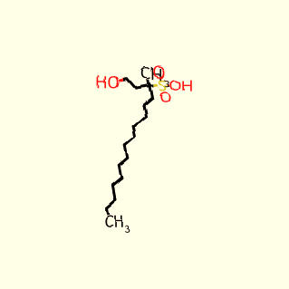 CCCCCCCCCCCCCC(C)(CCO)S(=O)(=O)O